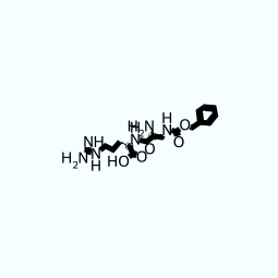 N=C(N)NCCC[C@H](NC(=O)[C@@H](N)CNC(=O)OCc1ccccc1)C(=O)O